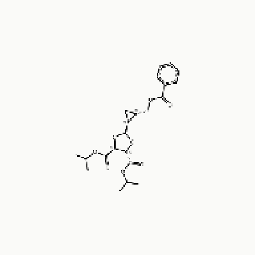 CC(C)OC(=O)[C@H]1OC([C@H]2C[C@@H]2COC(=O)c2ccccc2)O[C@@H]1C(=O)OC(C)C